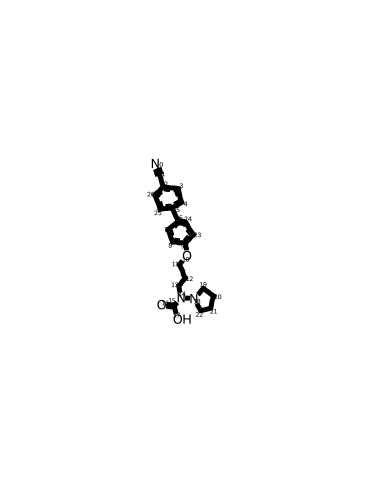 N#Cc1ccc(-c2ccc(OCCCN(C(=O)O)N3CCCC3)cc2)cc1